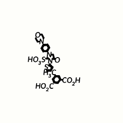 Cc1cc(C(=O)O)cc(C(=O)O)c1.O=C1CN(c2ccc(N3CCOCC3)cc2)C(S(=O)(=O)O)N1c1cccs1